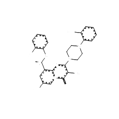 Cc1cc([C@@H](C)Nc2ccccc2C(=O)O)c2nc(N3CCN(c4ccccc4C)CC3)c(C#N)c(=O)n2c1